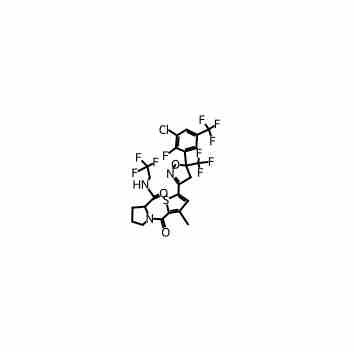 Cc1cc(C2=NOC(c3cc(C(F)(F)F)cc(Cl)c3F)(C(F)(F)F)C2)sc1C(=O)N1CCCC1C(=O)NCC(F)(F)F